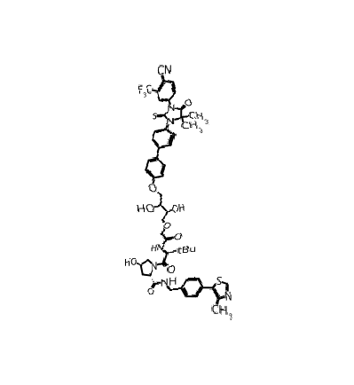 Cc1ncsc1-c1ccc(CNC(=O)[C@@H]2C[C@@H](O)CN2C(=O)[C@@H](NC(=O)COC[C@H](O)[C@@H](O)COc2ccc(-c3ccc(N4C(=S)N(c5ccc(C#N)c(C(F)(F)F)c5)C(=O)C4(C)C)cc3)cc2)C(C)(C)C)cc1